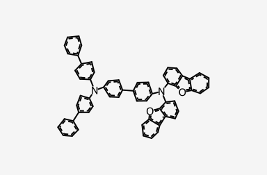 c1ccc(-c2ccc(N(c3ccc(-c4ccccc4)cc3)c3ccc(-c4ccc(N(c5cccc6c5oc5ccccc56)c5cccc6c5oc5ccccc56)cc4)cc3)cc2)cc1